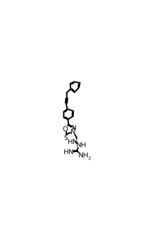 N=C(N)NNCn1nc(-c2ccc(C#CCc3ccccc3)cc2)oc1=S